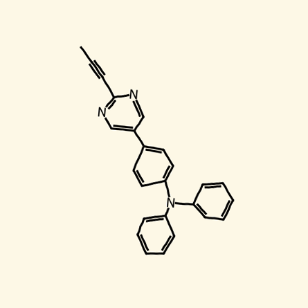 CC#Cc1ncc(-c2ccc(N(c3ccccc3)c3ccccc3)cc2)cn1